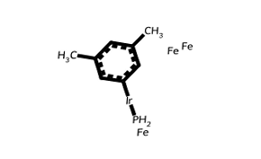 Cc1cc(C)c[c]([Ir][PH2])c1.[Fe].[Fe].[Fe]